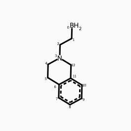 BCCN1CCc2ccccc2C1